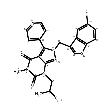 CC(C)Cn1c(=O)n(C)c(=O)c2c(-c3ccncc3)n(Cc3csc4ccc(F)cc34)nc21